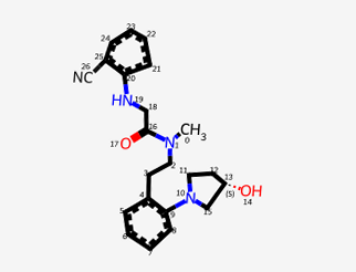 CN(CCc1ccccc1N1CC[C@H](O)C1)C(=O)CNc1ccccc1C#N